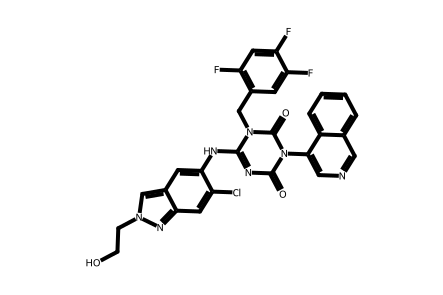 O=c1nc(Nc2cc3cn(CCO)nc3cc2Cl)n(Cc2cc(F)c(F)cc2F)c(=O)n1-c1cncc2ccccc12